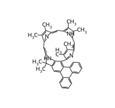 CC1=C(C)/C2=C/C3=C(C)C(C)C(/C=C4\N=C(C(C)=C4C)c4c5c(cc6c7ccccc7c7ccccc7c46)C(C)(C)/C(=C/C1=N2)N5)N3